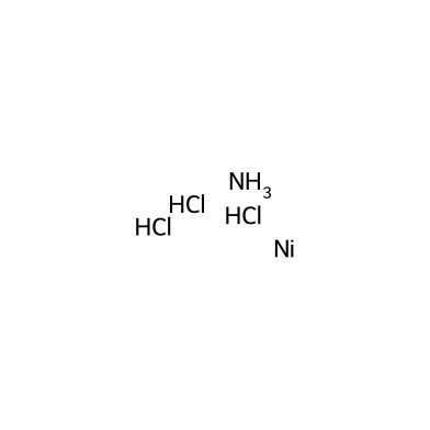 Cl.Cl.Cl.N.[Ni]